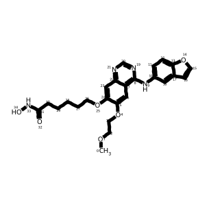 COCCOc1cc2c(Nc3ccc4occc4c3)ncnc2cc1OCCCCCC(=O)NO